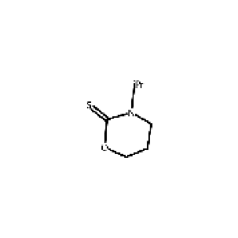 CC(C)N1CCCOC1=S